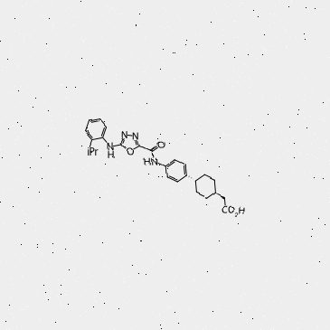 CC(C)c1ccccc1Nc1nnc(C(=O)Nc2ccc([C@H]3CC[C@H](CC(=O)O)CC3)cc2)o1